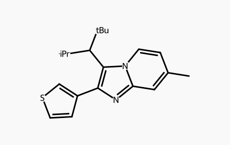 C[C](C)C(c1c(-c2ccsc2)nc2cc(C)ccn12)C(C)(C)C